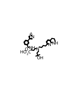 Cn1cc(-c2cccc(C(=O)NC(CCN(CCCCc3ccc4c(n3)NCCC4)CCC(C)(C)O)C(=O)O)c2)cn1